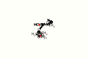 CCN1C(=O)C(C)(C)C(=O)N(C)c2cc(OCCCc3cc(CNCCN(C)C(=O)c4ccccc4C#N)ccn3)ccc21.Cl.Cl